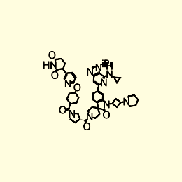 CC(C)n1cnc2cc(-c3ccc4c(c3)N(C3CC(N5CCCCC5)C3)C(=O)C43CCN(C(=O)[C@@H]4CCN(C(=O)C5CCC(Oc6ccc(C7CCC(=O)NC7=O)cn6)CC5)C4)CC3)nc(NC3CC3)c21